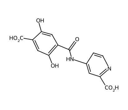 O=C(O)c1cc(NC(=O)c2cc(O)c(C(=O)O)cc2O)ccn1